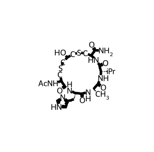 CC(=O)NC1CSCC(O)CSCC(C(N)=O)NC(=O)[C@H](C(C)C)NC(=O)[C@H](C)NC(=O)[C@H](Cc2c[nH]cn2)NC1=O